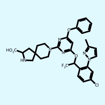 Cc1ccn(-c2cc(Cl)ccc2C(Oc2cc(Oc3ccccc3)nc(N3CCC4(CC3)CNC(C(=O)O)C4)n2)C(F)(F)F)n1